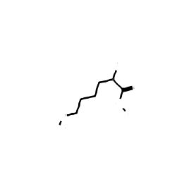 CC(=O)OOCCCCC(C(C)=O)C(=O)OC(C)(C)C